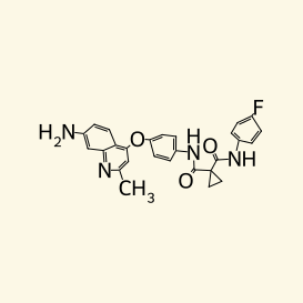 Cc1cc(Oc2ccc(NC(=O)C3(C(=O)Nc4ccc(F)cc4)CC3)cc2)c2ccc(N)cc2n1